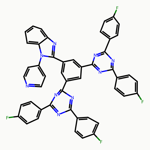 Fc1ccc(-c2nc(-c3ccc(F)cc3)nc(-c3cc(-c4nc(-c5ccc(F)cc5)nc(-c5ccc(F)cc5)n4)cc(-c4nc5ccccc5n4-c4ccncc4)c3)n2)cc1